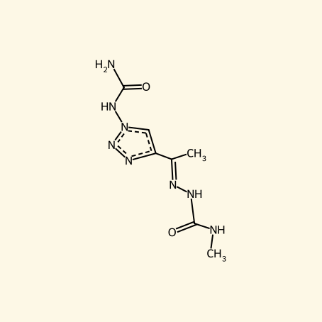 CNC(=O)N/N=C(\C)c1cn(NC(N)=O)nn1